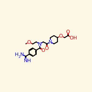 COCCN(CC(=O)N1CCC(OCC(=O)O)CC1)C(=O)c1ccc(C(=N)N)cc1